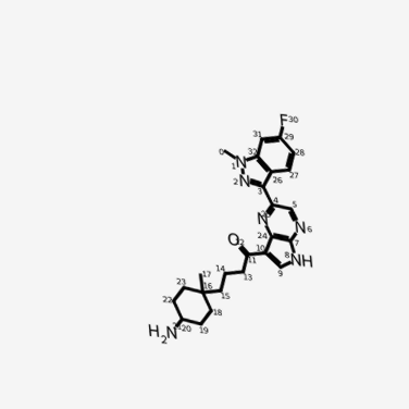 Cn1nc(-c2cnc3[nH]cc(C(=O)CCCC4(C)CCC(N)CC4)c3n2)c2ccc(F)cc21